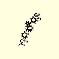 CC(C)OC(=O)N1CCC(Oc2ncnc3c(-c4ccc(S(C)(=O)=O)cc4)noc23)CC1